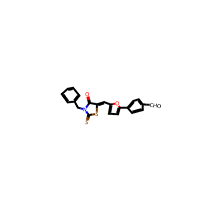 O=Cc1ccc(-c2ccc(/C=C3\SC(=S)N(Cc4ccccc4)C3=O)o2)cc1